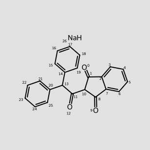 O=C1c2ccccc2C(=O)C1C(=O)C(c1ccccc1)c1ccccc1.[NaH]